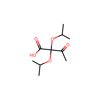 CC(=O)C(OC(C)C)(OC(C)C)C(=O)O